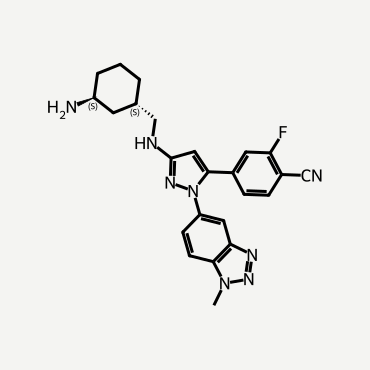 Cn1nnc2cc(-n3nc(NC[C@H]4CCC[C@H](N)C4)cc3-c3ccc(C#N)c(F)c3)ccc21